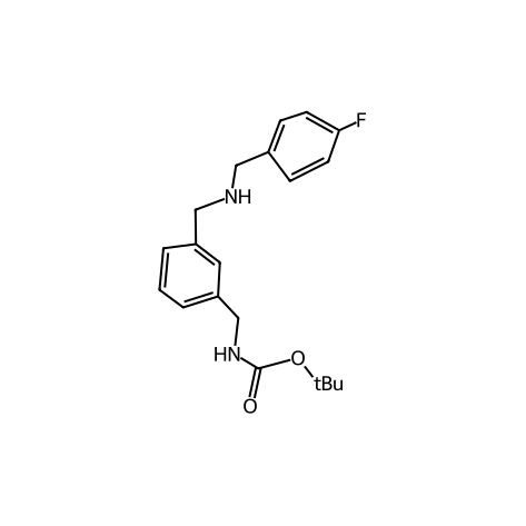 CC(C)(C)OC(=O)NCc1cccc(CNCc2ccc(F)cc2)c1